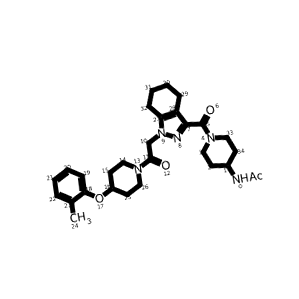 CC(=O)NC1CCN(C(=O)c2nn(CC(=O)N3CCC(Oc4ccccc4C)CC3)c3c2CCCC3)CC1